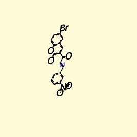 O=C(/C=C/c1cccc([N+](=O)[O-])c1)c1cc2cc(Br)ccc2oc1=O